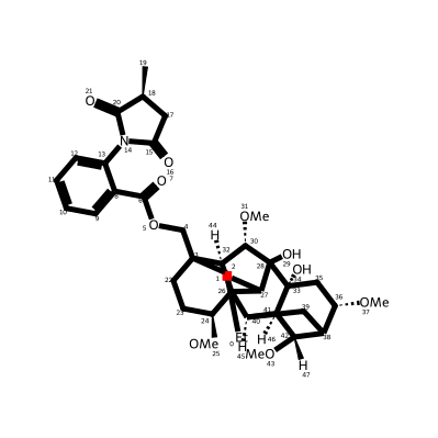 CCN1CC2(COC(=O)c3ccccc3N3C(=O)C[C@H](C)C3=O)CC[C@H](OC)C34C1C(O)([C@@H](OC)[C@H]23)[C@@]1(O)C[C@H](OC)C2C[C@@H]4[C@@H]1[C@H]2OC